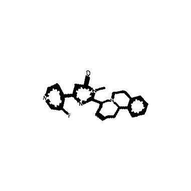 Cn1c(C2CCCC3c4ccccc4CCN32)nc(-c2ccncc2F)cc1=O